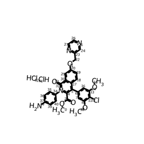 COC(=O)c1c(-c2cc(OC)c(Cl)c(OC)c2)c2ccc(OCc3cnccn3)cc2c(=O)n1-c1ccc(N)cc1.Cl.Cl